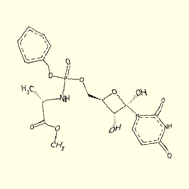 COC(=O)[C@H](C)NP(=O)(OC[C@H]1O[C@@](O)(n2ccc(=O)[nH]c2=O)[C@@H]1O)Oc1ccccc1